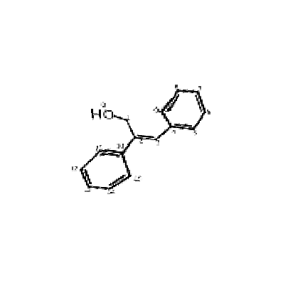 OCC(=Cc1ccccc1)c1ccccc1